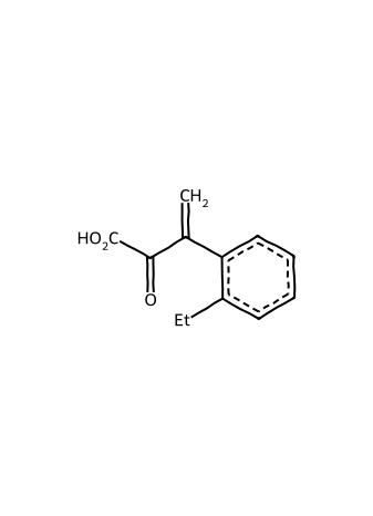 C=C(C(=O)C(=O)O)c1ccccc1CC